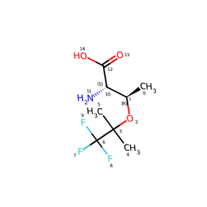 C[C@@H](OC(C)(C)C(F)(F)F)[C@H](N)C(=O)O